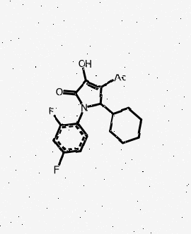 CC(=O)C1=C(O)C(=O)N(c2ccc(F)cc2F)C1C1CCCCC1